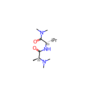 CC(C)[C@H](NC(=O)[C@H](C)N(C)C)C(=O)N(C)C